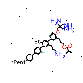 C=C(C)C(=O)OCCCc1cc(-c2cc(CC)c(-c3ccc(C4CCC(CCCCC)CC4)cc3F)cc2CCCN)ccc1OCC(CN)(CN)CN